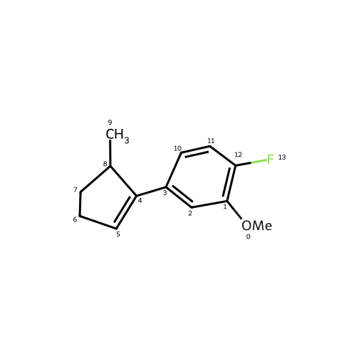 COc1cc(C2=CCCC2C)ccc1F